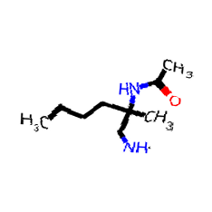 CCCCC(C)(C[NH])NC(C)=O